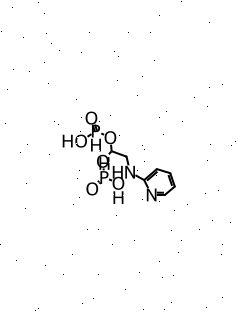 O=[PH](O)OC(CNc1ccccn1)O[PH](=O)O